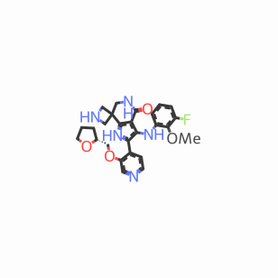 COc1c(F)cccc1Nc1c(-c2ccncc2OC[C@H]2CCCO2)[nH]c2c1C(=O)NCC21CNC1